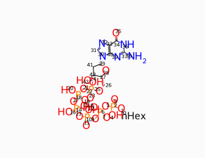 CCCCCCOP(=O)(O)OP(=O)(O)OP(=O)(O)OP(=O)(O)OP(=O)(O)OP(=O)(O)OC[C@H]1O[C@@H](n2cnc3c(=O)[nH]c(N)nc32)CC1O